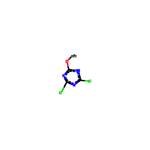 CCCOc1nc(Cl)nc(Cl)n1